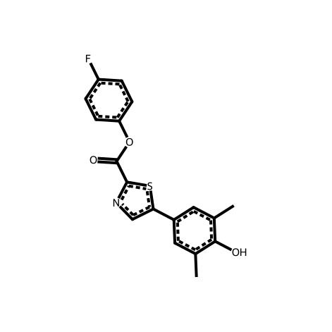 Cc1cc(-c2cnc(C(=O)Oc3ccc(F)cc3)s2)cc(C)c1O